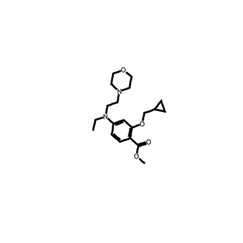 CCN(CCN1CCOCC1)c1ccc(C(=O)OC)c(OCC2CC2)c1